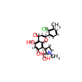 Cc1cccc(-c2cc(=O)c3c(O)cc(O)c([C@H]4CCN(C)[C@@H]4CO)c3o2)c1Cl